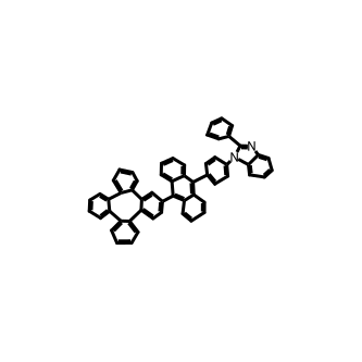 c1ccc(-c2nc3ccccc3n2-c2ccc(-c3c4ccccc4c(-c4ccc5c(c4)-c4ccccc4-c4ccccc4-c4ccccc4-5)c4ccccc34)cc2)cc1